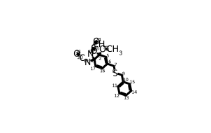 COC1(OC)C=C(CSCc2ccccc2)C=CC1(N=C=O)N=C=O